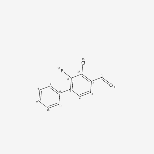 O=Cc1ccc(-c2ccccc2)c(F)c1Cl